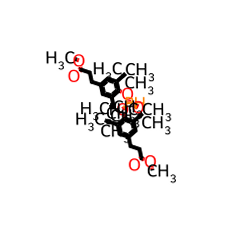 COC(=O)CCc1cc(C(C)(C)C)c(O[PH](=O)Oc2c(C(C)(C)C)cc(CCC(=O)OC)cc2C(C)(C)C)c(C(C)(C)C)c1